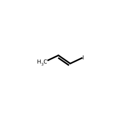 CC=CI